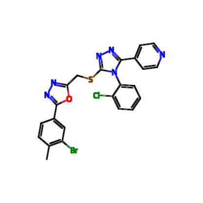 Cc1ccc(-c2nnc(CSc3nnc(-c4ccncc4)n3-c3ccccc3Cl)o2)cc1Br